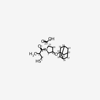 CC(CS)C(=O)N1CC(OC23CC4CC(CC(C4)C2)C3)C[C@H]1C(=O)O